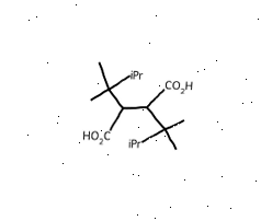 CC(C)C(C)(C)C(C(=O)O)C(C(=O)O)C(C)(C)C(C)C